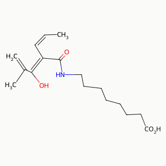 C=C(C)/C(O)=C(\C=C/C)C(=O)NCCCCCCCC(=O)O